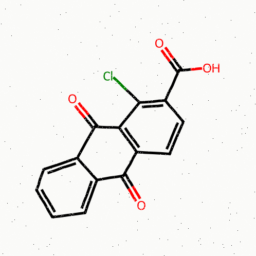 O=C(O)c1ccc2c(c1Cl)C(=O)c1ccccc1C2=O